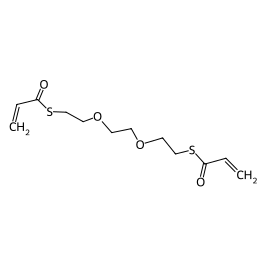 C=CC(=O)SCCOCCOCCSC(=O)C=C